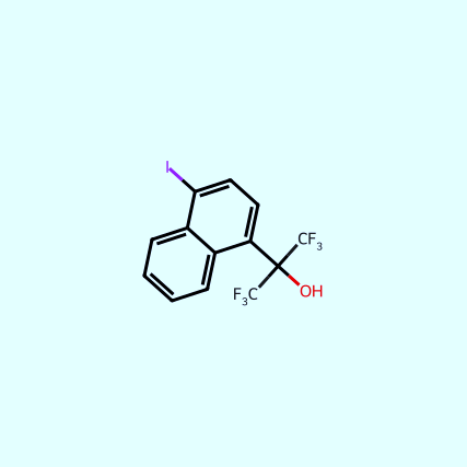 OC(c1ccc(I)c2ccccc12)(C(F)(F)F)C(F)(F)F